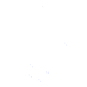 FC(F)(F)c1ccc2nc(C3CCCC3)c(-c3nn[nH]n3)c(-c3ccccc3)c2c1